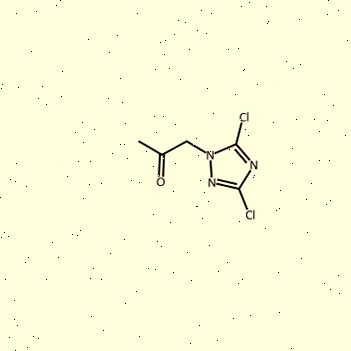 CC(=O)Cn1nc(Cl)nc1Cl